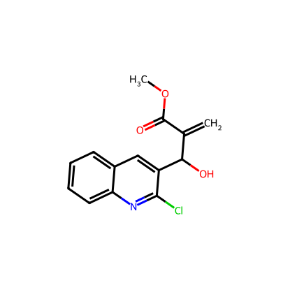 C=C(C(=O)OC)C(O)c1cc2ccccc2nc1Cl